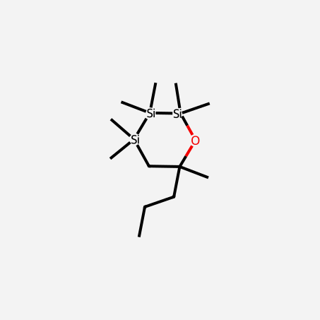 CCCC1(C)C[Si](C)(C)[Si](C)(C)[Si](C)(C)O1